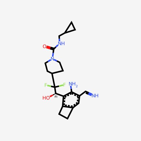 N=Cc1cc2c(c([C@@H](O)C(F)(F)C3CCN(C(=O)NCC4CC4)CC3)c1N)CC2